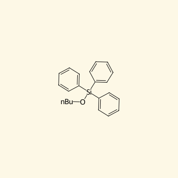 CCCCO[Si](c1ccccc1)(c1ccccc1)c1ccccc1